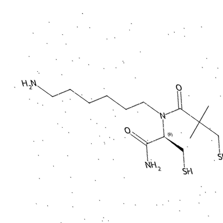 CC(C)(CS)C(=O)N(CCCCCCN)[C@@H](CS)C(N)=O